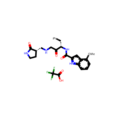 COc1cccc2[nH]c(C(=O)N[C@@H](CC(C)C)C(=O)CNC[C@@H]3CCNC3=O)cc12.O=C(O)C(F)(F)F